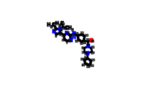 Cc1ncc(-c2ccnc(Nc3ccc(C(=O)N4CCN(c5ccccc5)CC4)cc3)n2)n1C(C)C